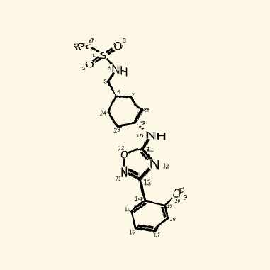 CC(C)S(=O)(=O)NC[C@H]1CC[C@H](Nc2nc(-c3ccccc3C(F)(F)F)no2)CC1